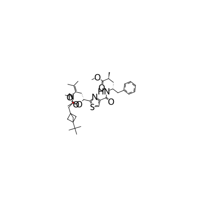 COC(=O)[C@@H](C)C[C@H](Cc1ccccc1)NC(=O)c1csc([C@@H](CC(=C(C)C)N(C)C(=O)CC23CC(C(C)(C)C)(C2)C3)OC(C)=O)n1